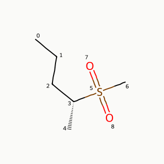 CCC[C@@H](C)S(C)(=O)=O